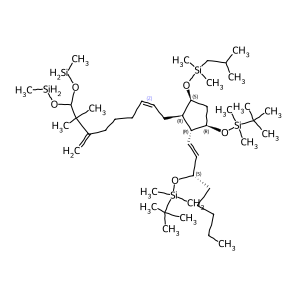 C=C(CCC/C=C\C[C@@H]1[C@@H](C=C[C@H](CCCCC)O[Si](C)(C)C(C)(C)C)[C@H](O[Si](C)(C)C(C)(C)C)C[C@@H]1O[Si](C)(C)CC(C)C)C(C)(C)C(O[SiH2]C)O[SiH2]C